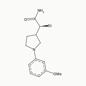 CC[C@H](C(N)=O)C1CCN(c2cccc(OC)c2)C1